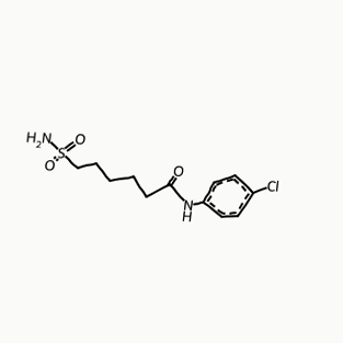 NS(=O)(=O)CCCCCC(=O)Nc1ccc(Cl)cc1